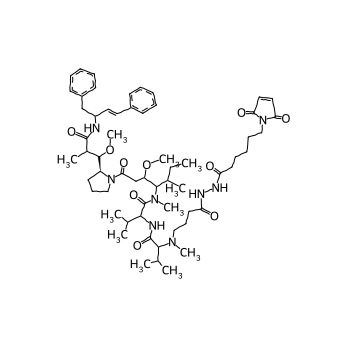 CCC(C)C(C(CC(=O)N1CCC[C@H]1C(OC)C(C)C(=O)NC(/C=C/c1ccccc1)Cc1ccccc1)OC)N(C)C(=O)C(NC(=O)C(C(C)C)N(C)CCCC(=O)NNC(=O)CCCCCN1C(=O)C=CC1=O)C(C)C